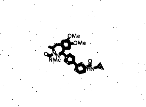 CNC(=O)N1N=C(c2ccc(-c3cccc(C(=O)NC4CC4)c3)cc2)c2cc(OC)c(OC)cc2CC1C